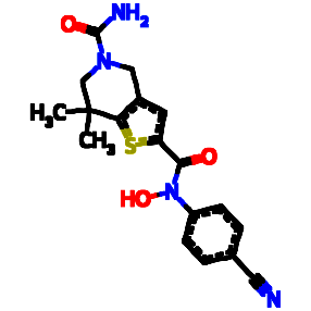 CC1(C)CN(C(N)=O)Cc2cc(C(=O)N(O)c3ccc(C#N)cc3)sc21